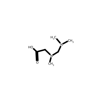 CN(C)CN(C)CC(=O)O